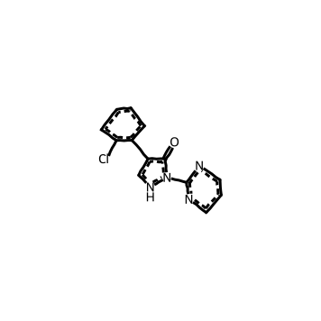 O=c1c(-c2ccccc2Cl)c[nH]n1-c1ncccn1